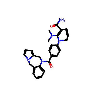 CN(C)C1=C(C(N)=O)C=CCN1c1ccc(C(=O)N2Cc3cccn3Cc3ccccc32)cc1